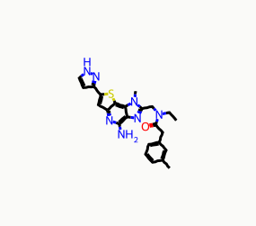 CCN(Cc1nc2c(N)nc3cc(-c4cc[nH]n4)sc3c2n1C)C(=O)Cc1cccc(C)c1